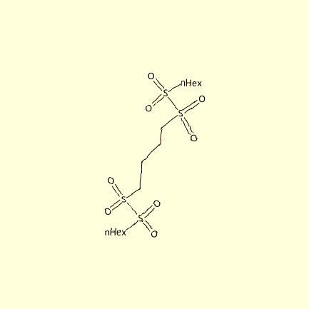 CCCCCCS(=O)(=O)S(=O)(=O)CCCCS(=O)(=O)S(=O)(=O)CCCCCC